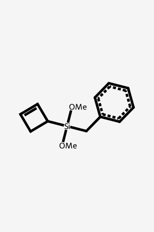 CO[Si](Cc1ccccc1)(OC)C1C=CC1